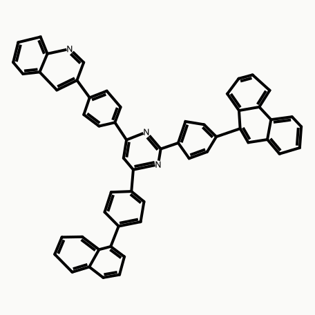 c1ccc2ncc(-c3ccc(-c4cc(-c5ccc(-c6cccc7ccccc67)cc5)nc(-c5ccc(-c6cc7ccccc7c7ccccc67)cc5)n4)cc3)cc2c1